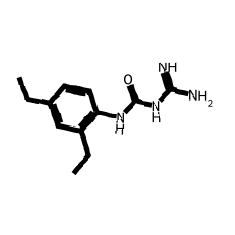 CCc1ccc(NC(=O)NC(=N)N)c(CC)c1